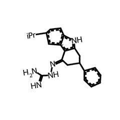 CC(C)c1ccc2[nH]c3c(c2c1)C(=NNC(=N)N)CC(c1ccccc1)C3